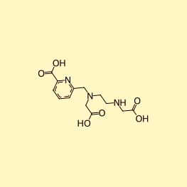 O=C(O)CNCCN(CC(=O)O)Cc1cccc(C(=O)O)n1